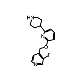 Fc1cnccc1COc1cccc(C2CCNCC2)n1